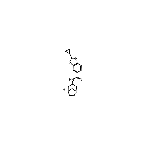 O=C(N[C@@H]1C[C@@H]2CCN(C2)C1)c1ccc2nc(C3CC3)sc2c1